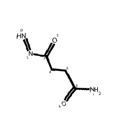 N=NC(=O)CCC(N)=O